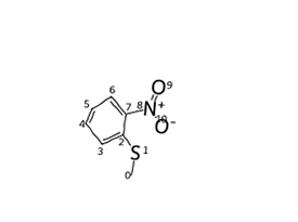 CSc1ccccc1[N+](=O)[O-]